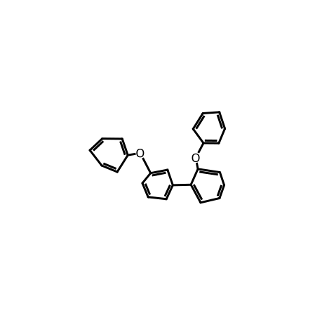 c1ccc(Oc2cccc(-c3ccccc3Oc3ccccc3)c2)cc1